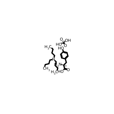 CCCCN(CCCC)CCCC.N[C@@H](Cc1ccc(O)cc1)C(=O)O.O=S(=O)(O)O